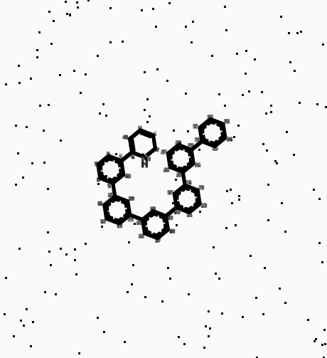 C1=CCNC(c2cccc(-c3cccc(-c4cccc(-c5cccc(-c6cccc(-c7ccccc7)c6)c5)c4)c3)c2)=C1